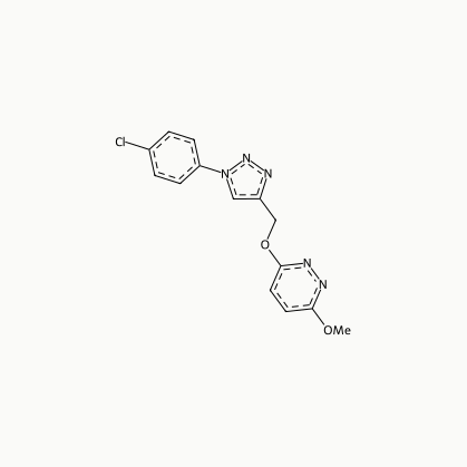 COc1ccc(OCc2cn(-c3ccc(Cl)cc3)nn2)nn1